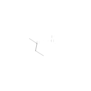 CCCC.O.O.[PbH2]